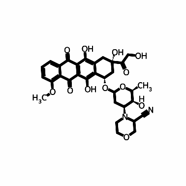 COc1cccc2c1C(=O)c1c(O)c3c(c(O)c1C2=O)C[C@@](O)(C(=O)CO)C[C@@H]3OC1C[C@H](N2CCOCC2C#N)[C@H](O)[C@H](C)O1